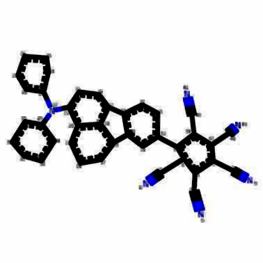 N#Cc1c(C#N)c(C#N)c(-c2ccc3c(c2)-c2cccc4c(N(c5ccccc5)c5ccccc5)ccc-3c24)c(C#N)c1C#N